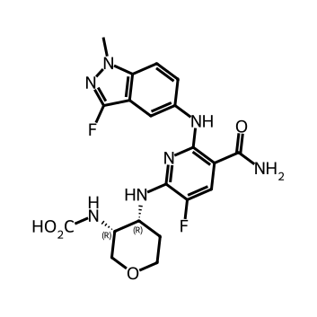 Cn1nc(F)c2cc(Nc3nc(N[C@@H]4CCOC[C@@H]4NC(=O)O)c(F)cc3C(N)=O)ccc21